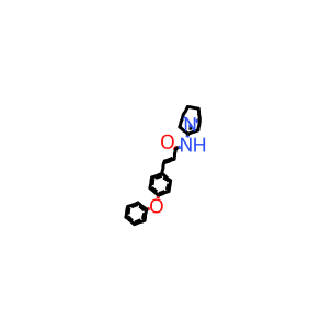 CN1C2CCC1CC(NC(=O)C=Cc1ccc(Oc3ccccc3)cc1)C2